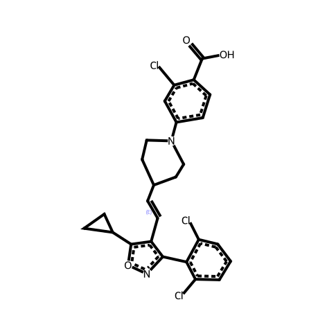 O=C(O)c1ccc(N2CCC(/C=C/c3c(-c4c(Cl)cccc4Cl)noc3C3CC3)CC2)cc1Cl